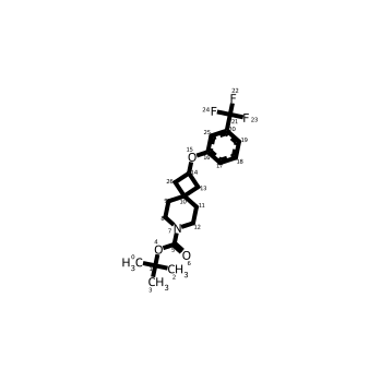 CC(C)(C)OC(=O)N1CCC2(CC1)CC(Oc1cccc(C(F)(F)F)c1)C2